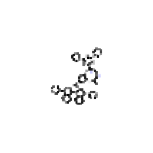 C=C1/C=C\C=C(\c2nc(-c3ccccc3)nc(-c3ccccc3)n2)Cc2ccc(N(C)c3cc(-c4ccccc4)c4ccccc4c3-c3ccc(-c4ccccc4)c4ccccc34)cc2O1